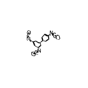 O=C=Nc1ccc(-c2cc(N=C=O)cc(N=C=O)c2)cc1